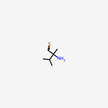 CC(C)C(C)(N)C=S